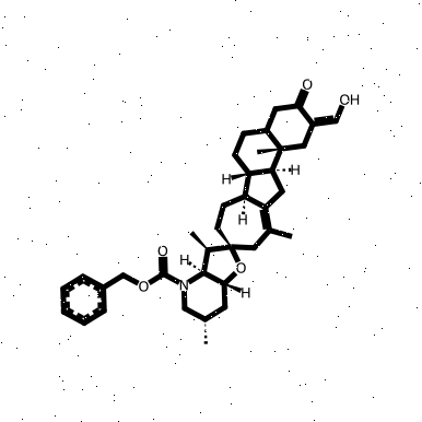 CC1=C2C[C@H]3[C@@H](CCC4CC(=O)/C(=C\O)C[C@@]43C)[C@@H]2CC[C@@]2(C1)O[C@@H]1C[C@H](C)CN(C(=O)OCc3ccccc3)[C@H]1[C@H]2C